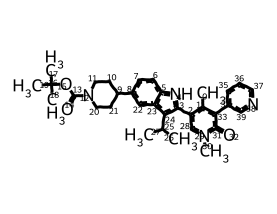 Cc1c(-c2[nH]c3ccc(C4CCN(C(=O)OC(C)(C)C)CC4)cc3c2C(C)C)cn(C)c(=O)c1-c1cccnc1